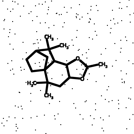 CC1OC2CC(C)(C)C34CCC(C3)C(C)(C)C4C2O1